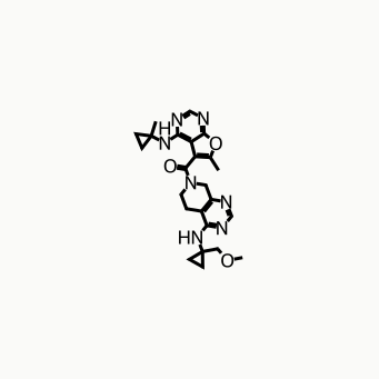 COCC1(Nc2ncnc3c2CCN(C(=O)c2c(C)oc4ncnc(NC5(C)CC5)c24)C3)CC1